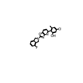 Cc1cc(Cl)cc(O)c1-c1ccc2oc(N3Cc4cccc(F)c4C3)nc2n1